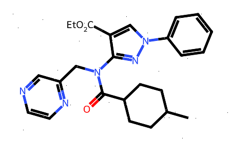 CCOC(=O)c1cn(-c2ccccc2)nc1N(Cc1cnccn1)C(=O)C1CCC(C)CC1